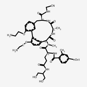 CCCCCCCCc1ccc(C(=O)N[C@@H](CCC(=O)NC(CO)CO)C(=O)N(C)[C@@H]2C(=O)N[C@@H](C)C(=O)N[C@H](C(=O)NCC#N)Cc3ccc(OCCN)c(c3)-c3cc2ccc3OCCN)c(C)c1